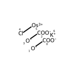 O=C([O-])[O-].O=C([O-])[O-].[Cl][Os+3].[K+]